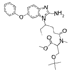 CCC(CCC(=O)N(C)C(COC(C)(C)C)C(=O)OC)n1c(N)nc2ccc(Oc3ccccc3)cc21